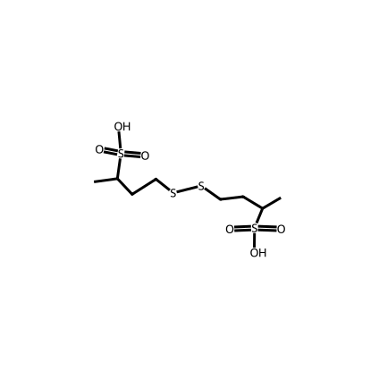 CC(CCSSCCC(C)S(=O)(=O)O)S(=O)(=O)O